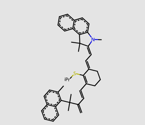 C=C(/C=C/C1=C(SC(C)C)C(=C/C=C2/N(C)c3ccc4ccccc4c3C2(C)C)/CCC1)C(C)(C)c1c(C)ccc2ccccc12